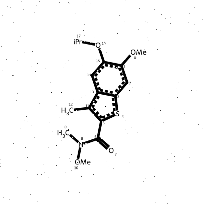 COc1cc2sc(C(=O)N(C)OC)c(C)c2cc1OC(C)C